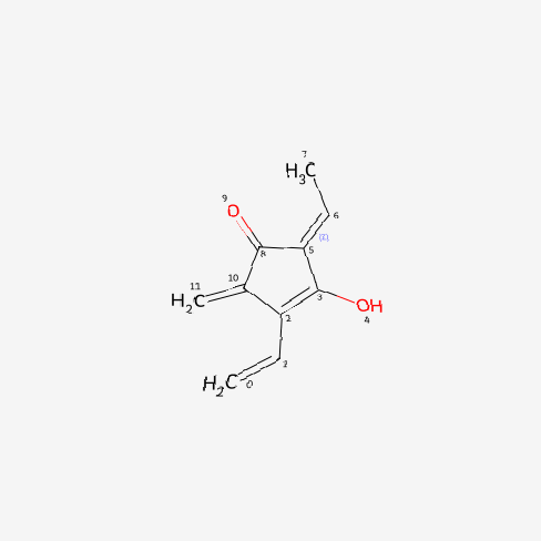 C=CC1=C(O)/C(=C/C)C(=O)C1=C